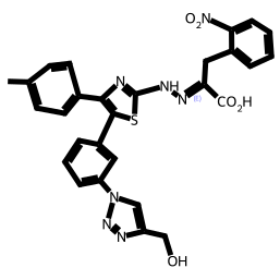 Cc1ccc(-c2nc(N/N=C(\Cc3ccccc3[N+](=O)[O-])C(=O)O)sc2-c2cccc(-n3cc(CO)nn3)c2)cc1